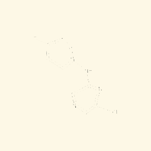 Fc1ccc(Nc2cncc(Cl)n2)cc1